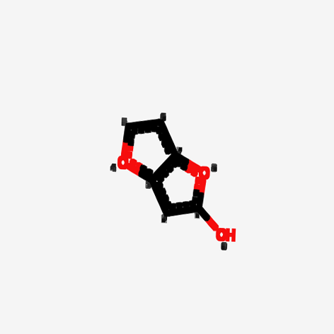 Oc1cc2occc2o1